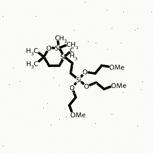 COCCO[Si](CC[Si]1(C)CCC(C)(C)O[Si]1(C)C)(OCCOC)OCCOC